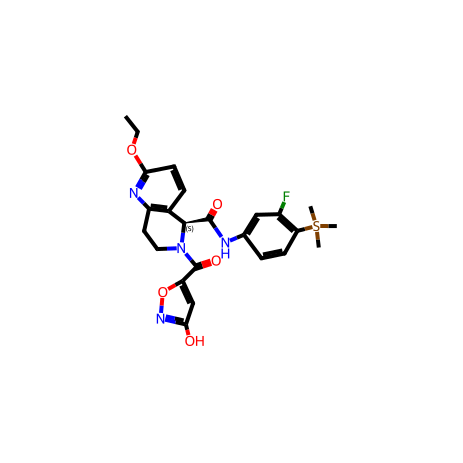 CCOc1ccc2c(n1)CCN(C(=O)c1cc(O)no1)[C@@H]2C(=O)Nc1ccc(S(C)(C)C)c(F)c1